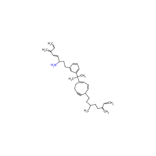 C=CC(=C)/C=C/C(N)CCc1cccc(C(C)(C)/C2=C/C=C\C(CCC(C)CCC(=C)C=C)C#CCC2)c1